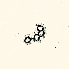 c1ccc(-c2cc3c(ccc4ccccc43)cn2)cc1